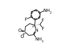 NC1=N[C@@](c2cc(N)ccc2F)(C(F)F)CCS(=O)(=O)C1